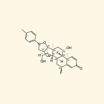 Cc1ccc(N2C[C@@H]3C[C@H]4[C@@H]5C[C@H](F)C6=CC(=O)C=C[C@]6(C)[C@@]5(F)[C@@H](O)C[C@]4(C)[C@]3(C(=O)CO)O2)cc1